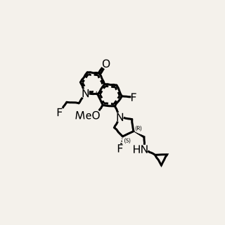 COc1c(N2C[C@@H](CNC3CC3)[C@H](F)C2)c(F)cc2c(=O)ccn(CCF)c12